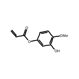 C=CC(=O)Oc1ccc(OC)c(O)c1